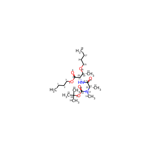 CCCCOC(=O)[C@@H](NC(=O)[C@H](C)N(C)C(=O)OC(C)(C)C)[C@@H](C)OCCCC